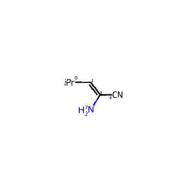 CC(C)C=C(N)C#N